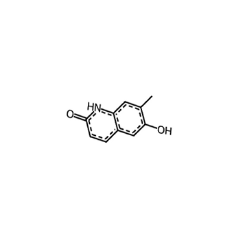 Cc1cc2[nH]c(=O)ccc2cc1O